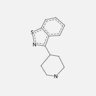 c1ccc2c(C3CC[N]CC3)nsc2c1